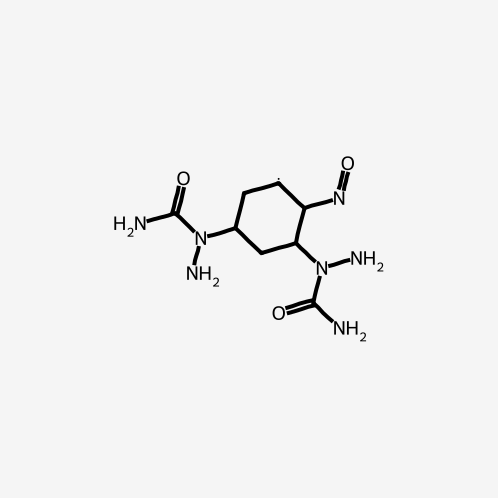 NC(=O)N(N)C1C[CH]C(N=O)C(N(N)C(N)=O)C1